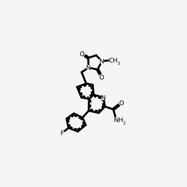 CN1CC(=O)N(Cc2ccc3c(-c4ccc(F)cc4)cc(C(N)=O)nc3c2)C1=O